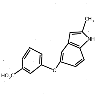 Cc1cc2cc(Oc3cccc(C(=O)O)c3)ccc2[nH]1